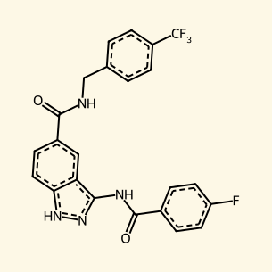 O=C(NCc1ccc(C(F)(F)F)cc1)c1ccc2[nH]nc(NC(=O)c3ccc(F)cc3)c2c1